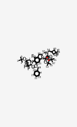 CC(C)(C)OC(=O)CN(C(=O)C(F)(F)F)c1c(OCc2ccccc2)cc2c(c1F)C[C@H](CN(CC1CC(F)(F)C1)C(=O)OC(C)(C)C)N2C(=O)OC(C)(C)C